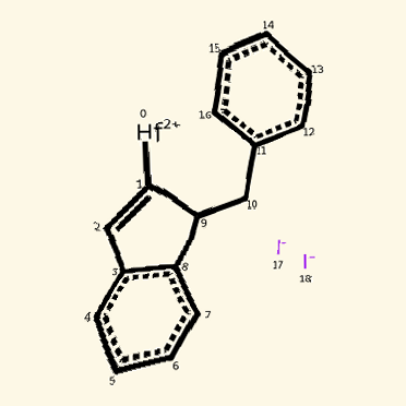 [Hf+2][C]1=Cc2ccccc2C1Cc1ccccc1.[I-].[I-]